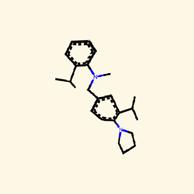 CC(C)c1ccccc1N(C)Cc1ccc(N2CCCC2)c(C(C)C)c1